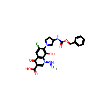 CNn1cc(C(=O)O)c(=O)c2cc(F)c(N3CCC(NC(=O)OCc4ccccc4)C3)c(O)c21